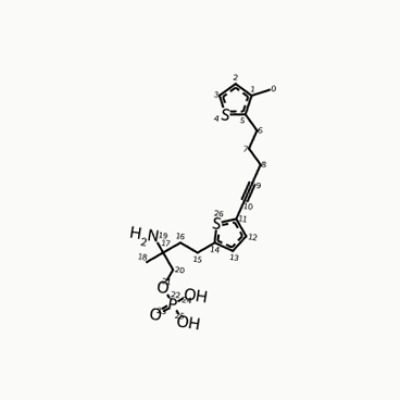 Cc1ccsc1CCCC#Cc1ccc(CCC(C)(N)COP(=O)(O)O)s1